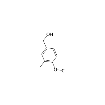 Cc1cc(CO)ccc1OCl